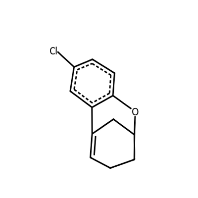 Clc1ccc2c(c1)C1=CCCC(C1)O2